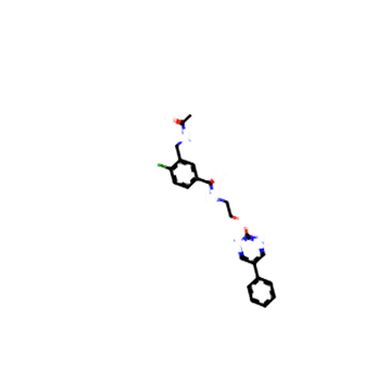 CC(=O)NCc1cc(C(=O)NCCOc2ncc(-c3ccccc3)cn2)ccc1Cl